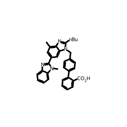 CCCCc1nc2c(C)cc(-c3nc4ccccc4n3C)cc2n1Cc1ccc(-c2ccccc2C(=O)O)cc1